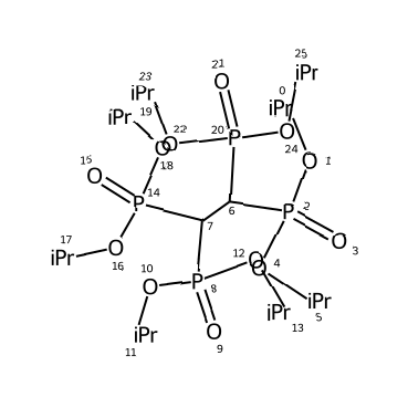 CC(C)OP(=O)(OC(C)C)C(C(P(=O)(OC(C)C)OC(C)C)P(=O)(OC(C)C)OC(C)C)P(=O)(OC(C)C)OC(C)C